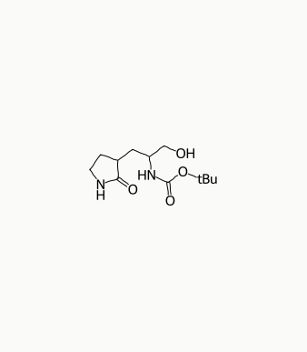 CC(C)(C)OC(=O)NC(CO)CC1CCNC1=O